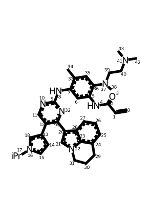 C=CC(=O)Nc1cc(Nc2ncc(-c3ccn(C(C)C)c3)c(-c3cn4c5c(cccc35)CCC4)n2)c(C)cc1N(C)CCN(C)C